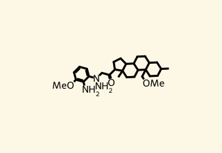 COCC12CCC(C)CC1CCC1C3CCC(C(=O)CN(N)c4cccc(OC)c4N)C3(C)CCC12